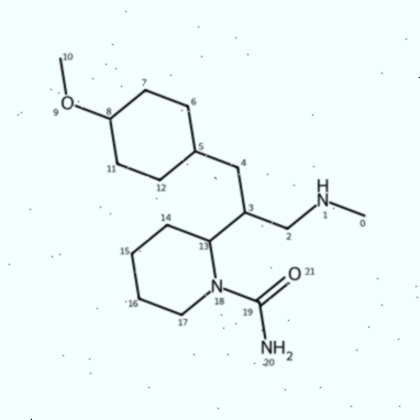 CNCC(CC1CCC(OC)CC1)C1CCCCN1C(N)=O